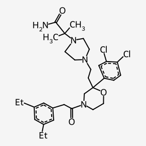 CCc1cc(CC)cc(CC(=O)N2CCOC(CCN3CCN(C(C)(C)C(N)=O)CC3)(c3ccc(Cl)c(Cl)c3)C2)c1